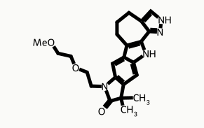 COCCOCCN1C(=O)C(C)(C)c2cc3[nH]c4c(c3cc21)CCCc1c[nH]nc1-4